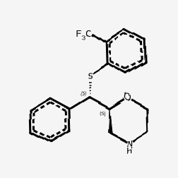 FC(F)(F)c1ccccc1S[C@@H](c1ccccc1)[C@@H]1CNCCO1